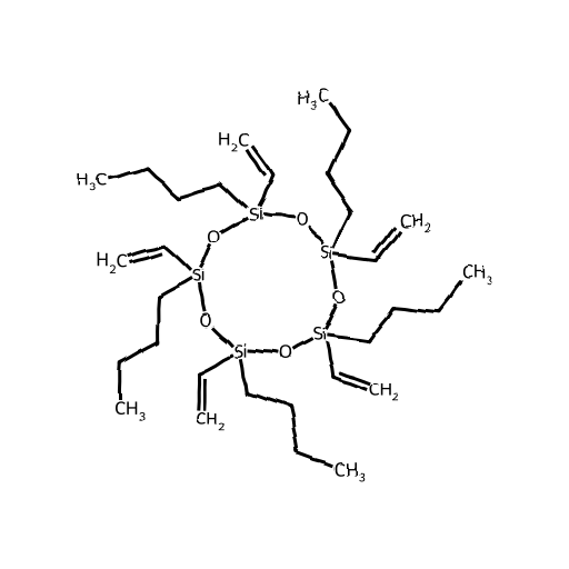 C=C[Si]1(CCCC)O[Si](C=C)(CCCC)O[Si](C=C)(CCCC)O[Si](C=C)(CCCC)O[Si](C=C)(CCCC)O1